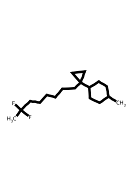 CC1CCC(C2(CCCCCCC(C)(F)F)CC2)CC1